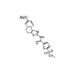 COc1ccc2c(c1)CCc1sc(NC(=O)c3ccc(S(C)(=O)=O)s3)nc1-2